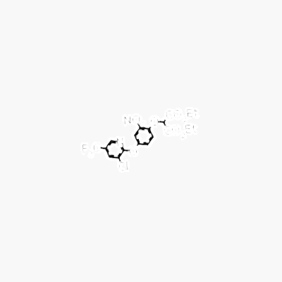 CCOC(=O)C(Oc1ccc(Oc2ncc(C(F)(F)F)cc2Cl)cc1[N+](=O)[O-])C(=O)OCC